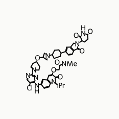 CNC(=O)COc1cc2cc(Nc3nc(N4CCC(OC5CN(C6CCC(c7ccc8c(c7)CN(C7CCC(=O)NC7=O)C8=O)CC6)C5)CC4)ncc3Cl)ccc2n(C(C)C)c1=O